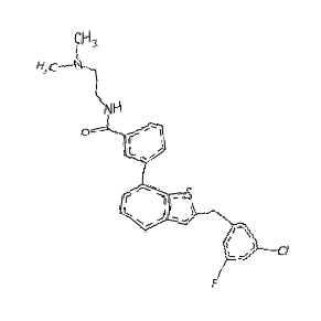 CN(C)CCNC(=O)c1cccc(-c2cccc3cc(Cc4cc(F)cc(Cl)c4)sc23)c1